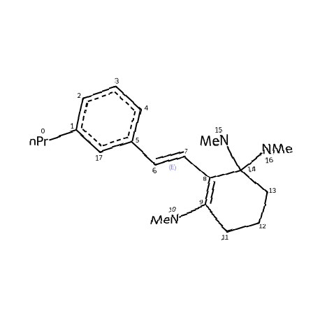 C[CH]Cc1cccc(/C=C/C2=C(NC)CCCC2(NC)NC)c1